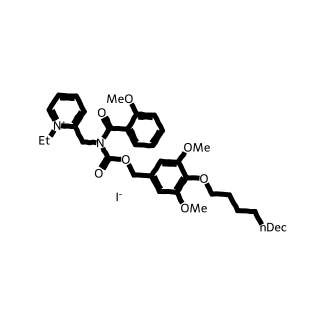 CCCCCCCCCCCCCCOc1c(OC)cc(COC(=O)N(Cc2cccc[n+]2CC)C(=O)c2ccccc2OC)cc1OC.[I-]